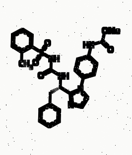 COC(=O)Nc1ccc(-n2ccnc2[C@H](Cc2ccccc2)NC(=O)NS(=O)(=O)c2ccccc2C)cc1